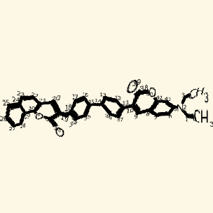 CCN(CC)c1ccc2cc(-c3ccc(-c4ccc(-c5cc6ccc7ccccc7c6oc5=O)cc4)cc3)c(=O)oc2c1